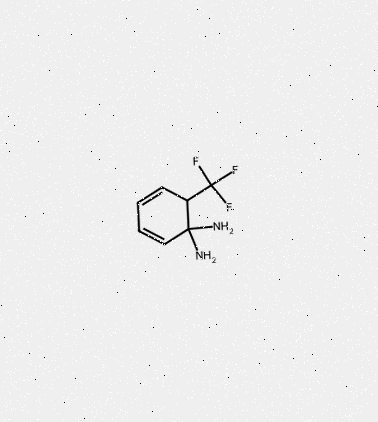 NC1(N)C=CC=CC1C(F)(F)F